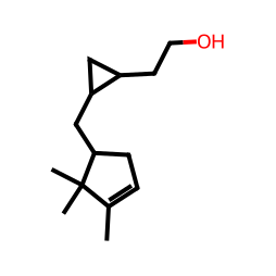 CC1=CCC(CC2CC2CCO)C1(C)C